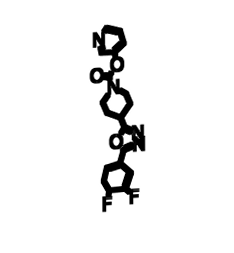 O=C(Oc1cccnc1)N1CCC(c2nnc(C3=CCC(F)C(F)=C3)o2)CC1